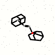 C1C2CC3CC1CC(C2)N3N=NN1C2CC3CC(C2)CC1C3